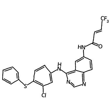 O=C(/C=C/C(F)(F)F)Nc1ccc2ncnc(Nc3ccc(Sc4ccccc4)c(Cl)c3)c2c1